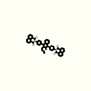 C=C/C=C\c1c(C)c(C2=CC=C(N3C(=O)c4cccc5cccc(c45)C3=O)CC2)c2ccccc2c1-c1ccc(N2C(=O)c3cccc4cccc(c34)C2=O)cc1